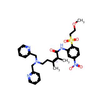 COCCS(=O)(=O)c1ccc([N+](=O)[O-])cc1NC(=O)/C(C)=C(/C)CCN(Cc1ccccn1)Cc1ccccn1